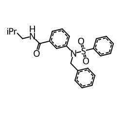 CC(C)CNC(=O)c1cccc(N(Cc2ccccc2)S(=O)(=O)c2ccccc2)c1